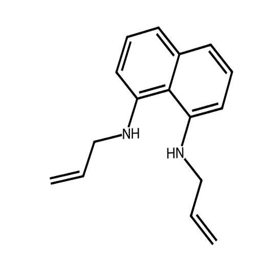 C=CCNc1cccc2cccc(NCC=C)c12